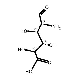 N[C@H](C=O)[C@H](O)[C@H](O)[C@H](O)C(=O)O